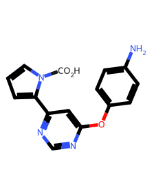 Nc1ccc(Oc2cc(-c3cccn3C(=O)O)ncn2)cc1